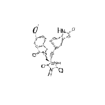 COc1ccc2c(c1)C(=O)N(C[C@@]1(C#Cc3ccc4[nH]c(=O)sc4c3)NC(=O)NC1=O)C2